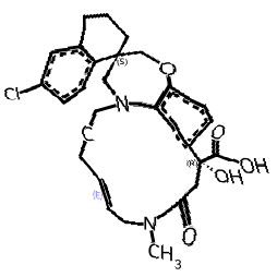 CN1C/C=C/CCCN2C[C@@]3(CCCc4cc(Cl)ccc43)COc3ccc(cc32)[C@@](O)(C(=O)O)CC1=O